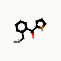 COCc1ccccc1C(=O)c1cccs1